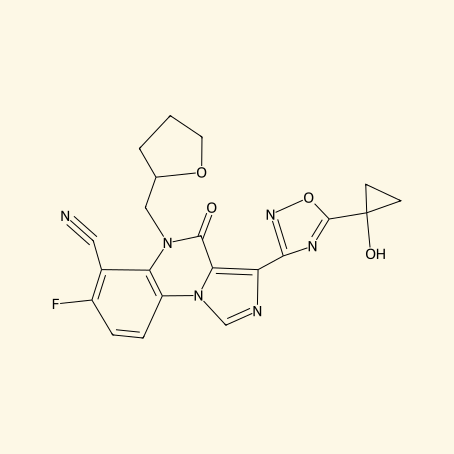 N#Cc1c(F)ccc2c1n(CC1CCCO1)c(=O)c1c(-c3noc(C4(O)CC4)n3)ncn12